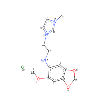 CCOc1cc2c(cc1NCC[n+]1ccn(C)c1)OCO2.[Cl-]